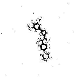 COc1cc(C2=CCC(C(=O)C(OC)c3ccc(N4CCOCC4)cc3)O2)cc(OC)c1F